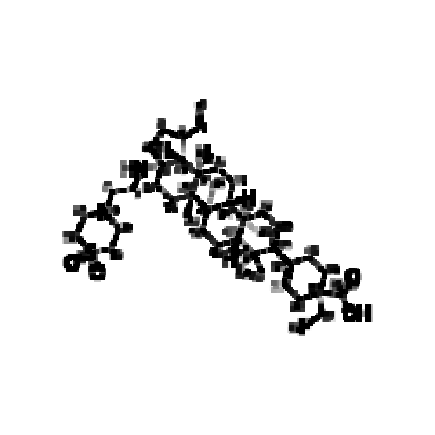 C=CC1CC[C@]2(NCCN3CCS(=O)(=O)CC3)CC[C@]3(C)[C@H](CC[C@@H]4[C@@]5(C)CC=C(C6=CCC(CF)(C(=O)O)CC6)C(C)(C)[C@@H]5CC[C@]43C)[C@@H]12